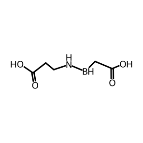 O=C(O)CBNCCC(=O)O